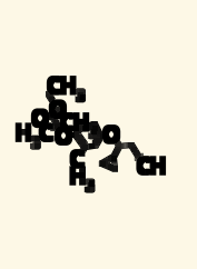 C#CCC(Oc1ccc(OC(C)(C)C(=O)OCC)c(C)c1)C1CC1